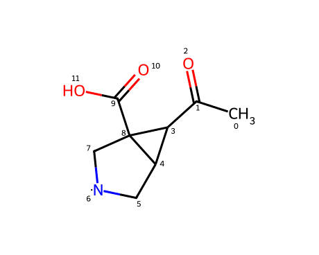 CC(=O)C1C2C[N]CC21C(=O)O